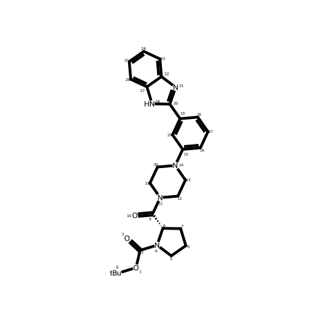 CC(C)(C)OC(=O)N1CCC[C@H]1C(=O)N1CCN(c2cccc(-c3nc4ccccc4[nH]3)c2)CC1